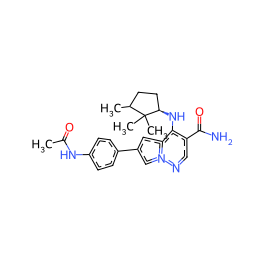 CC(=O)Nc1ccc(-c2cc3c(N[C@@H]4CCC(C)C4(C)C)c(C(N)=O)cnn3c2)cc1